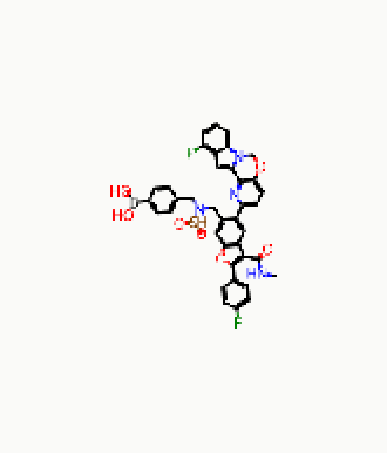 CNC(=O)c1c(-c2ccc(F)cc2)oc2cc(CN(Cc3ccc(B(O)O)cc3)[SH](=O)=O)c(-c3ccc4c(n3)-c3cc5c(F)cccc5n3CO4)cc12